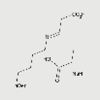 CCC(=O)O.CCCCCCCCCCCCCCN=CCC(=O)O.[NaH]